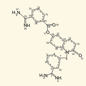 N=C(N)c1cccc(Cn2c(=O)ccc3cc(OC(=O)c4cccc(C(=N)N)c4)ccc32)c1